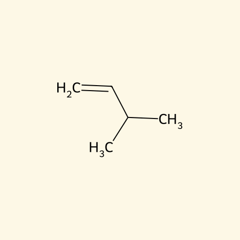 C=CC(C)C